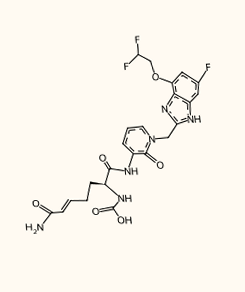 NC(=O)/C=C/CC[C@H](NC(=O)O)C(=O)Nc1cccn(Cc2nc3c(OCC(F)F)cc(F)cc3[nH]2)c1=O